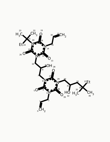 C=CCn1c(=O)n(CC(O)Cn2c(=O)n(CC=C)c(=O)n(C(C)(C)CC)c2=O)c(=O)n(CC(O)CC(C)(C)CC)c1=O